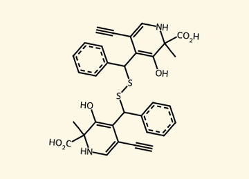 C#CC1=CNC(C)(C(=O)O)C(O)=C1C(SSC(C1=C(O)C(C)(C(=O)O)NC=C1C#C)c1ccccc1)c1ccccc1